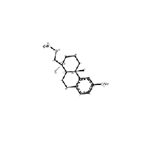 COc1ccc2c(c1)[C@@]1(C)CCC[C@](C)(COC=O)C1CC2